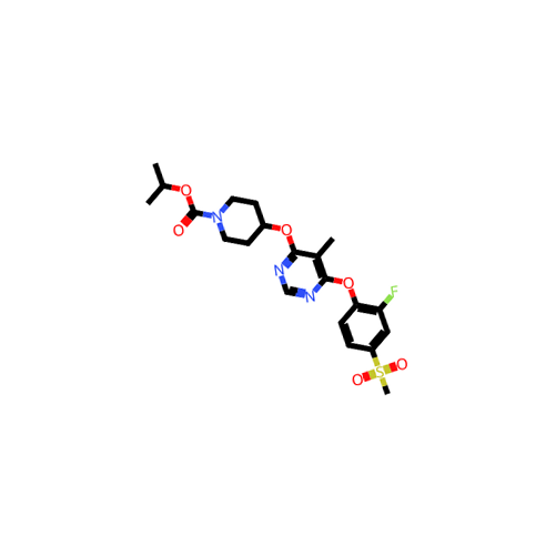 Cc1c(Oc2ccc(S(C)(=O)=O)cc2F)ncnc1OC1CCN(C(=O)OC(C)C)CC1